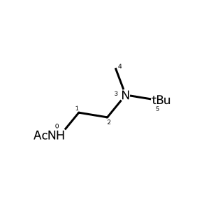 CC(=O)NCCN(C)C(C)(C)C